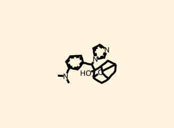 CN(C)c1cccc(C(n2ccnc2)C2(O)C3CC4CC(C3)CC2C4)c1